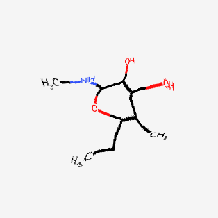 CCC1OC(NC)C(O)C(O)C1C